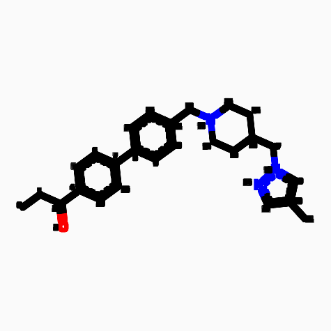 CCC(=O)c1ccc(-c2ccc(CN3CCC(Cn4cc(C)cn4)CC3)cc2)cc1